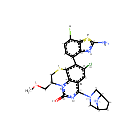 COC[C@H]1CSc2c(-c3ccc(F)c4sc(N)nc34)c(Cl)cc3c(N4CC5CCC(C4)N5)nc(=O)n1c23